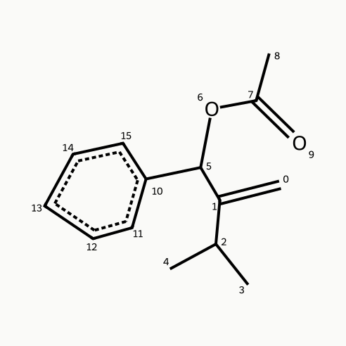 C=C(C(C)C)C(OC(C)=O)c1ccccc1